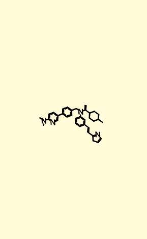 C=C(C1CCC(C)CC1)N(Cc1ccc(-c2ccc(N(C)C)nc2)cc1)c1cccc(/C=C/C2=NC=CC2)c1